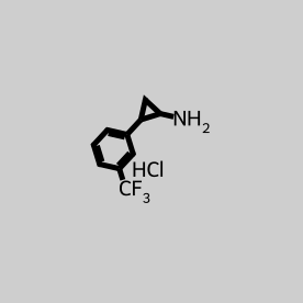 Cl.NC1CC1c1cccc(C(F)(F)F)c1